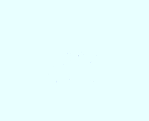 O=C(C1OCCO1)C1(S(=O)(=O)O)CCCCC1